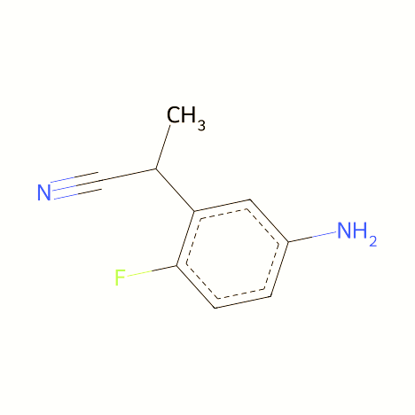 CC(C#N)c1cc(N)ccc1F